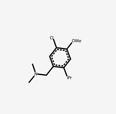 COc1cc(C(C)C)c(CN(C)C)cc1Cl